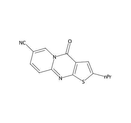 CCCc1cc2c(=O)n3cc(C#N)ccc3nc2s1